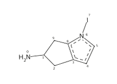 NC1Cc2ccn(I)c2C1